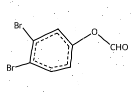 O=COc1ccc(Br)c(Br)c1